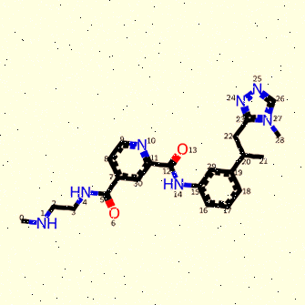 CNCCNC(=O)c1ccnc(C(=O)Nc2cccc(C(C)Cc3nncn3C)c2)c1